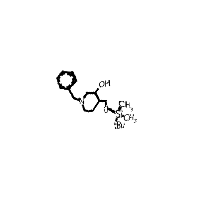 CC(C)(C)[Si](C)(C)OCC1CCN(Cc2ccccc2)CC1O